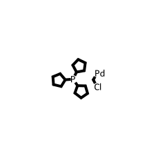 C1CCC(P(C2CCCC2)C2CCCC2)C1.Cl[CH2][Pd]